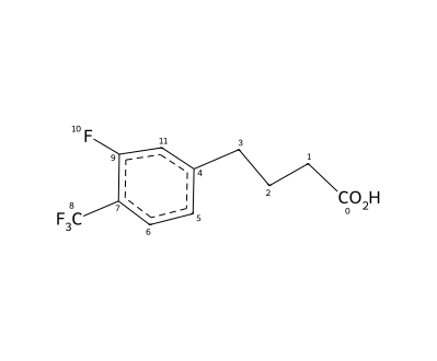 O=C(O)CCCc1ccc(C(F)(F)F)c(F)c1